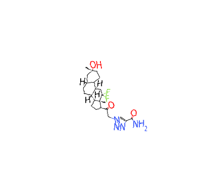 C[C@@]1(O)CCC2[C@H](CC[C@@H]3[C@@H]2CC(F)(F)[C@]2(C)[C@@H](C(=O)Cn4cc(C(N)=O)nn4)CC[C@@H]32)C1